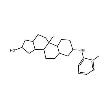 Cc1ncccc1NC1CCC2C(CCC3C4CC(O)CC4CCC23C)C1